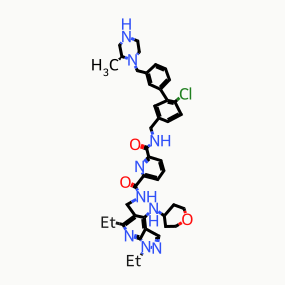 CCc1nc2c(cnn2CC)c(NC2CCOCC2)c1CNC(=O)c1cccc(C(=O)NCc2ccc(Cl)c(-c3cccc(CN4CCNC[C@@H]4C)c3)c2)n1